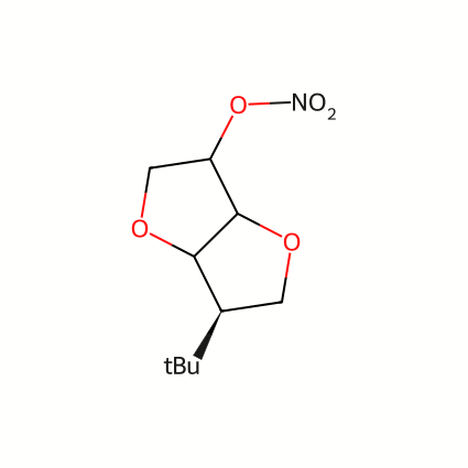 CC(C)(C)[C@@H]1COC2C(O[N+](=O)[O-])COC21